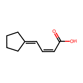 O=C(O)/C=C\C=C1CCCC1